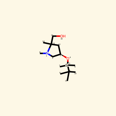 CN1C[C@H](O[Si](C)(C)C(C)(C)C)CC1(C)CO